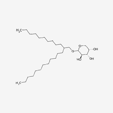 CCCCCCCCCCCCC(CCCCCCCCCC)COC1OC[C@H](O)[C@H](O)[C@H]1O